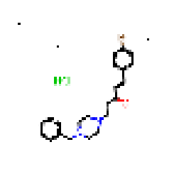 Cl.O=C(C=Cc1ccc(Br)cc1)CCN1CCN(Cc2ccccc2)CC1